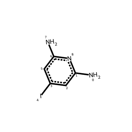 Nc1cc(I)cc(N)n1